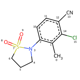 Cc1c(N2CCCS2(=O)=O)ccc(C#N)c1Cl